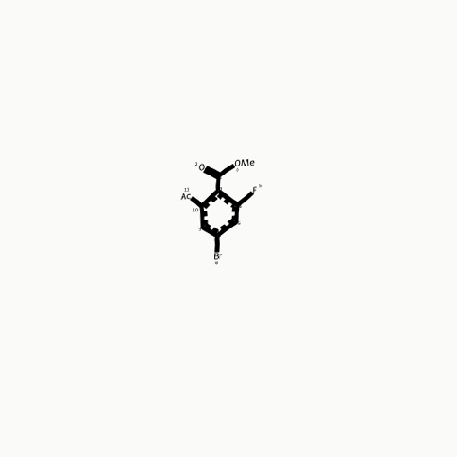 COC(=O)c1c(F)cc(Br)cc1C(C)=O